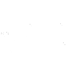 NC(=O)c1cc2cncnc2cn1